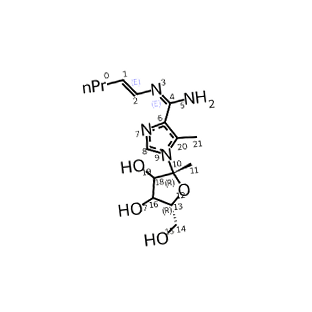 CCC/C=C/N=C(/N)c1ncn([C@]2(C)O[C@H](CO)C(O)C2O)c1C